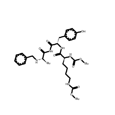 CC[C@H](C)[C@H](NCc1ccccc1)C(=O)NC(=O)[C@H](Cc1ccc(O)cc1)NC(=O)[C@H](CCCCNC(=O)OC(C)(C)C)NC(=O)OC(C)(C)C